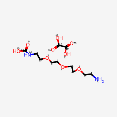 NCCOCCOCCOCCNC(=O)O.O=C(O)C(=O)O